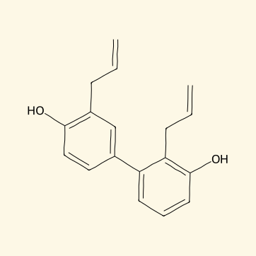 C=CCc1cc(-c2cccc(O)c2CC=C)ccc1O